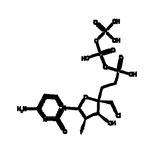 Nc1ccn(C2O[C@](CCl)(CCP(=O)(O)OP(=O)(O)OP(=O)(O)O)[C@@H](O)[C@H]2F)c(=O)n1